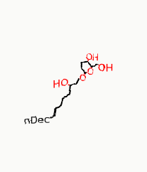 CCCCCCCCCCCCCCC[C@@H](O)CCOC1CCC(O)C(CO)O1